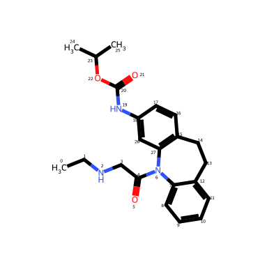 CCNCC(=O)N1c2ccccc2CCc2ccc(NC(=O)OC(C)C)cc21